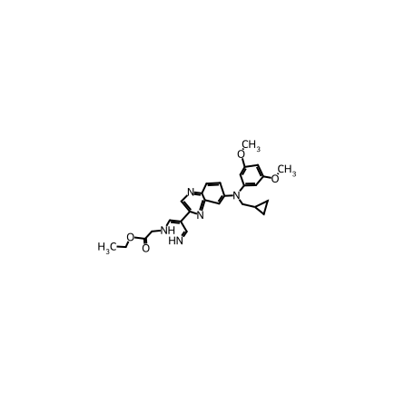 CCOC(=O)CN/C=C(\C=N)c1cnc2ccc(N(CC3CC3)c3cc(OC)cc(OC)c3)cc2n1